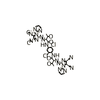 [C-]#[N+]c1nc(N=NC(C(C)=O)C(=O)Nc2cc(Cl)c(NC(=O)C(N=Nc3nc(C#N)c(C#N)n3-c3ncccn3)C(C)=O)cc2Cl)n(-c2ncccn2)c1[N+]#[C-]